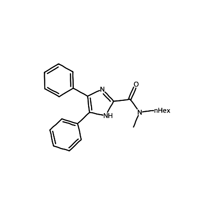 CCCCCCN(C)C(=O)c1nc(-c2ccccc2)c(-c2ccccc2)[nH]1